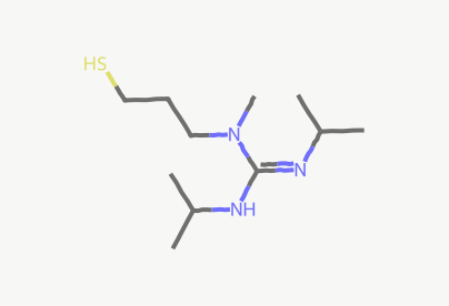 CC(C)/N=C(/NC(C)C)N(C)CCCS